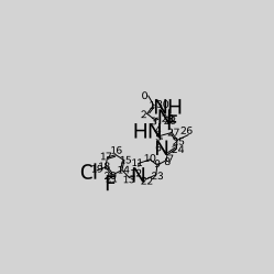 Cc1cc(Nc2nc(CC3CCN(Cc4cccc(Cl)c4F)CC3)cc(C)c2F)n[nH]1